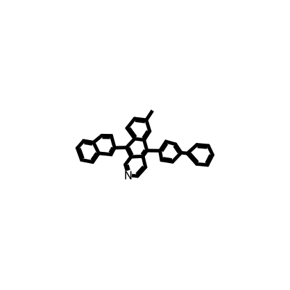 Cc1ccc2c(-c3ccc4ccccc4c3)c3cnccc3c(-c3ccc(-c4ccccc4)cc3)c2c1